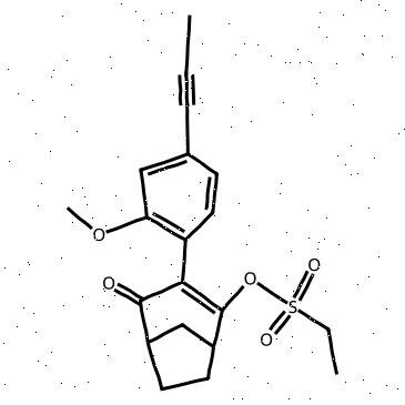 CC#Cc1ccc(C2=C(OS(=O)(=O)CC)C3CCC(C3)C2=O)c(OC)c1